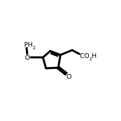 O=C(O)CC1=CC(OP)CC1=O